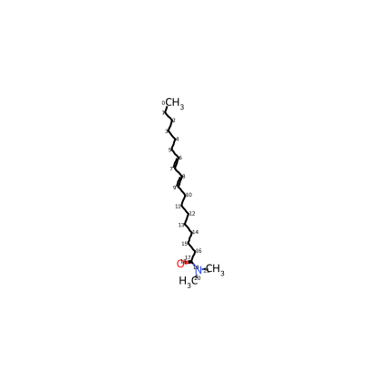 CCCCCC/C=C/C=C/CCCCCCCC(=O)N(C)C